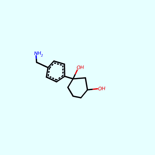 NCc1ccc(C2(O)CCCC(O)C2)cc1